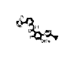 COc1cc(F)c(C(=O)Nc2cccc(-c3nncn3C(C)C)n2)cc1-n1cnc(C2CC2)c1